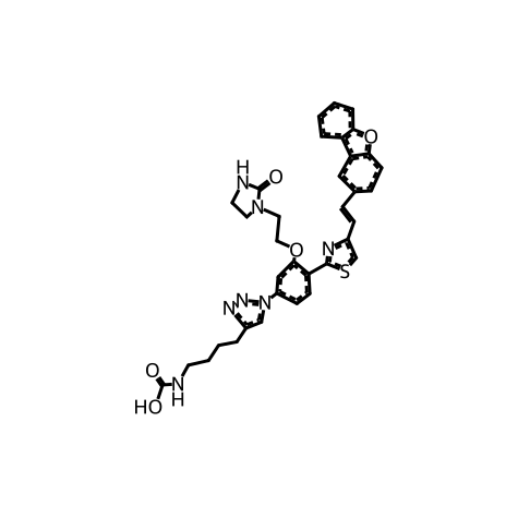 O=C(O)NCCCCc1cn(-c2ccc(-c3nc(/C=C/c4ccc5oc6ccccc6c5c4)cs3)c(OCCN3CCNC3=O)c2)nn1